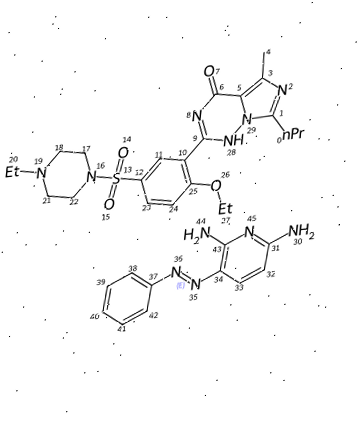 CCCc1nc(C)c2c(=O)nc(-c3cc(S(=O)(=O)N4CCN(CC)CC4)ccc3OCC)[nH]n12.Nc1ccc(/N=N/c2ccccc2)c(N)n1